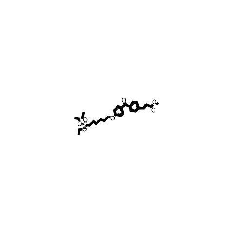 CCO[Si](CCCCCCOc1ccc(C(=O)c2ccc(/C=C/C(=O)OC)cc2)cc1)(OCC)OCC